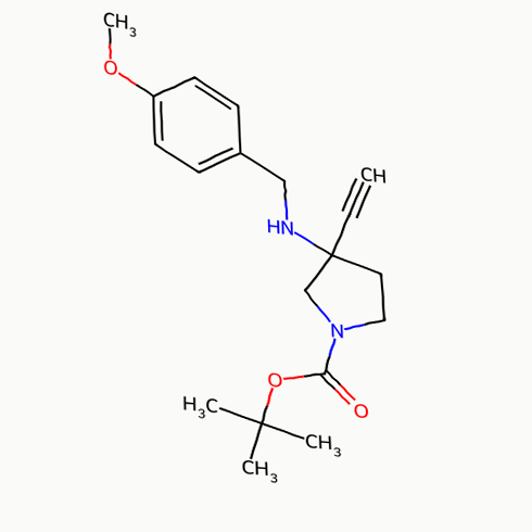 C#CC1(NCc2ccc(OC)cc2)CCN(C(=O)OC(C)(C)C)C1